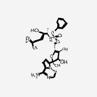 CCC(CC)CC(O)[C@H](C)N[P@](=O)(OC[C@H]1O[C@@](C#N)(c2ccc3c(N)ncnn23)[C@H](O)[C@@H]1O)Oc1ccccc1